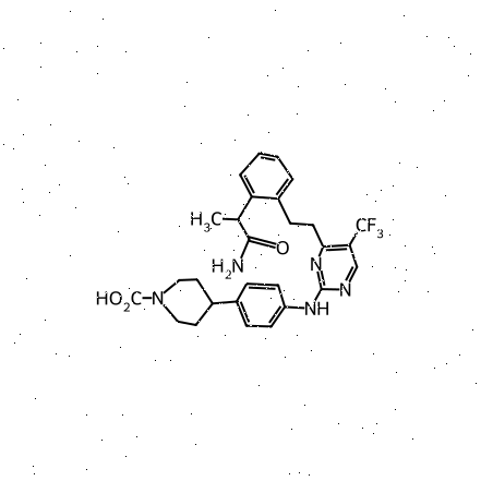 CC(C(N)=O)c1ccccc1CCc1nc(Nc2ccc(C3CCN(C(=O)O)CC3)cc2)ncc1C(F)(F)F